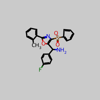 Cc1ccccc1-c1nc(S(=O)(=O)c2ccccc2)c(C(N)c2ccc(F)cc2)o1